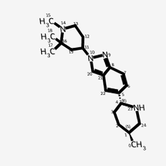 C[C@H]1CC[C@H](c2ccc3nn(C4CCN(C)C(C)(C)C4)cc3c2)NC1